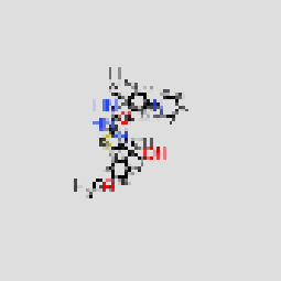 COc1ccc(C(C)(CO)c2csc(NC(=O)NC(C)c3ccc(N4CCCCC4)cc3)n2)cc1